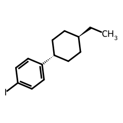 CC[C@H]1CC[C@H](c2ccc(I)cc2)CC1